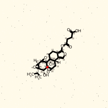 CC(C)[C@]12O[C@H]1[C@@H]1O[C@]13[C@]1(O[C@H]1C[C@H]1c4coc(OC(=O)CCC(=O)O)c4CC[C@@]13C)[C@@H]2O